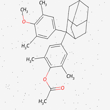 COc1c(C)cc(C2(c3cc(C)c(OC(C)=O)c(C)c3)C3CC4CC(C3)CC2C4)cc1C